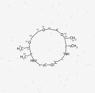 CC1NCCOCCNC(C)C(C)OCCOCCOC1C